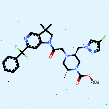 C[C@@H]1CN(CC(=O)N2CC(C)(C)c3cnc(C(F)(F)c4ccccc4)cc32)[C@@H](Cn2cc(F)cn2)CN1C(=O)OC(C)(C)C